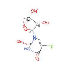 O=c1[nH]c(=O)n([C@@H]2OC[C@H](O)[C@@H]2O)cc1F